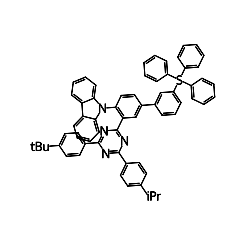 CC(C)c1ccc(-c2nc(-c3ccc(C(C)(C)C)cc3)nc(-c3cc(-c4cccc(S(c5ccccc5)(c5ccccc5)c5ccccc5)c4)ccc3-n3c4ccccc4c4ccccc43)n2)cc1